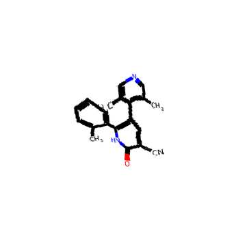 Cc1ccccc1-c1[nH]c(=O)c(C#N)cc1-c1c(C)cncc1C